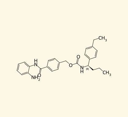 CCC[C@@H](NC(=O)OCc1ccc(C(=O)Nc2ccccc2N)cc1)c1ccc(CC)cc1